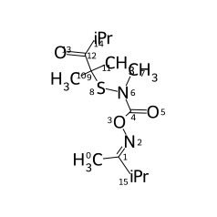 C/C(=N\OC(=O)N(C)SC(C)(C)C(=O)C(C)C)C(C)C